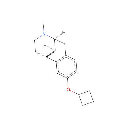 CN1CC[C@@]23CCCC[C@@H]2[C@@H]1Cc1ccc(OC2CCC2)cc13